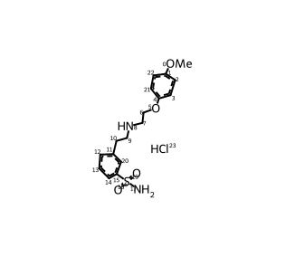 COc1ccc(OCCNCCc2cccc(S(N)(=O)=O)c2)cc1.Cl